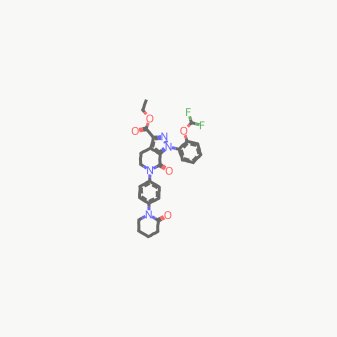 CCOC(=O)c1nn(-c2ccccc2OC(F)F)c2c1CCN(c1ccc(N3CCCCC3=O)cc1)C2=O